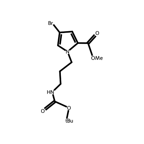 COC(=O)c1cc(Br)cn1CCCNC(=O)OC(C)(C)C